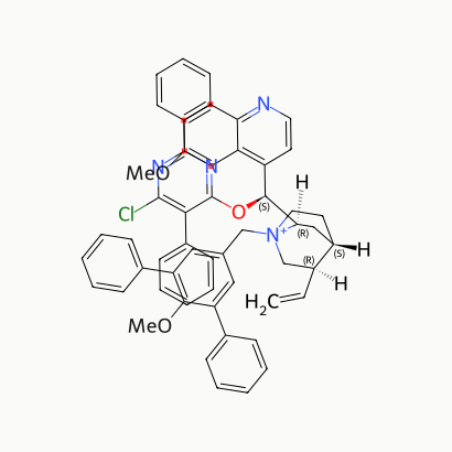 C=C[C@H]1C[N+]2(Cc3cc(-c4ccccc4)c(OC)c(-c4ccccc4)c3)CC[C@H]1C[C@@H]2[C@@H](Oc1nc(-c2ccccc2)nc(Cl)c1-c1ccccc1)c1ccnc2ccc(OC)cc12